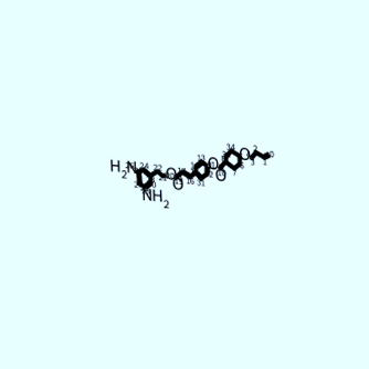 C=CCCOC1CCC(C(=O)Oc2ccc(/C=C/C(=O)OCCc3cc(N)cc(N)c3)cc2)CC1